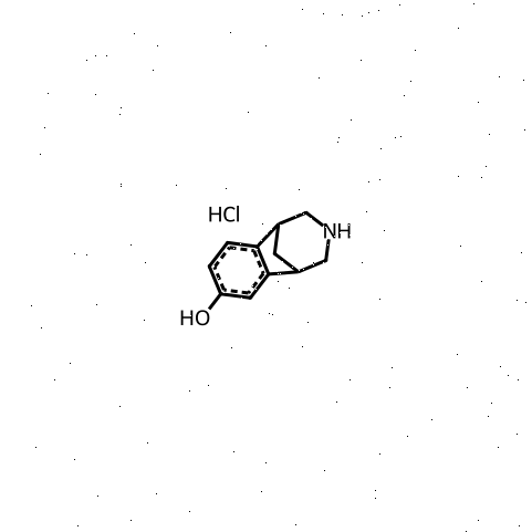 Cl.Oc1ccc2c(c1)C1CNCC2C1